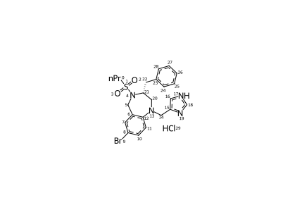 CCCS(=O)(=O)N1Cc2cc(Br)ccc2N(Cc2c[nH]cn2)C[C@H]1Cc1ccccc1.Cl